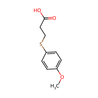 COc1ccc(SCCC(=O)O)cc1